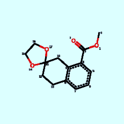 COC(=O)c1cccc2c1CC1(CC2)OCCO1